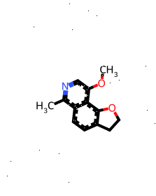 COc1cnc(C)c2ccc3c(c12)OCC3